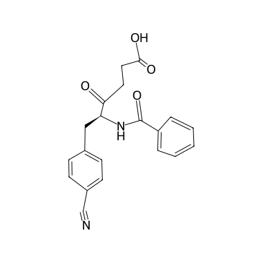 N#Cc1ccc(C[C@H](NC(=O)c2ccccc2)C(=O)CCC(=O)O)cc1